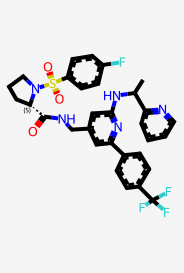 CC(Nc1cc(CNC(=O)[C@@H]2CCCN2S(=O)(=O)c2ccc(F)cc2)cc(-c2ccc(C(F)(F)F)cc2)n1)c1ccccn1